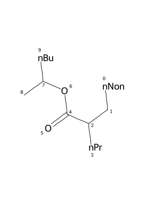 CCCCCCCCCCC(CCC)C(=O)OC(C)CCCC